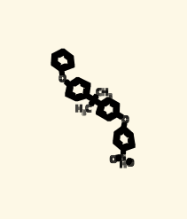 CC(C)(c1ccc(Oc2ccccc2)cc1)c1ccc(Oc2ccc([SH](=O)=O)cc2)cc1